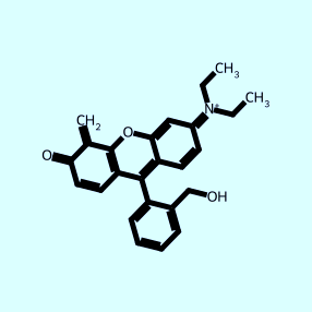 C=c1c(=O)ccc2c(-c3ccccc3CO)c3ccc(=[N+](CC)CC)cc3oc12